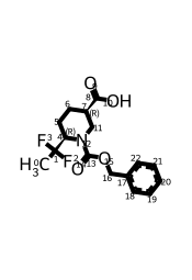 CC(F)(F)[C@H]1CC[C@@H](C(=O)O)CN1C(=O)OCc1ccccc1